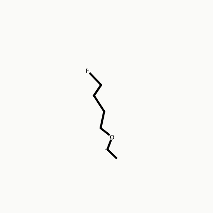 C[CH]OCCCCF